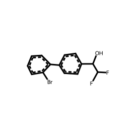 OC(c1ccc(-c2ccccc2Br)cc1)C(F)F